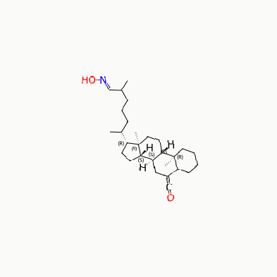 CC(C=NO)CCCC(C)[C@H]1CC[C@H]2[C@@H]3CC(=C=O)C4CCCC[C@]4(C)[C@H]3CC[C@]12C